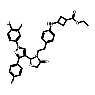 CCOC(=O)C1CC(Nc2ccc(CCN3C(=O)COC3c3cn(-c4ccc(Cl)c(F)c4)nc3-c3ccc(F)cc3)cc2)C1